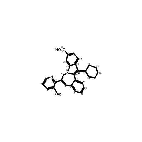 CC(=O)c1cccnc1C1=Cc2ccccc2-c2c(C3CCCCC3)c3ccc(C(=O)O)cc3n2C1